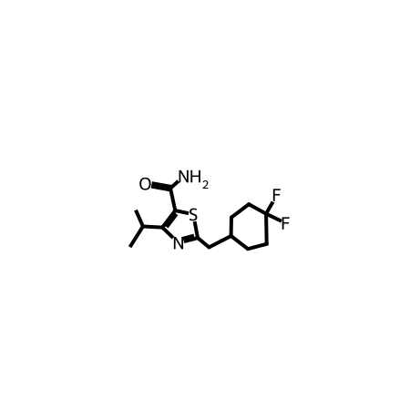 CC(C)c1nc(CC2CCC(F)(F)CC2)sc1C(N)=O